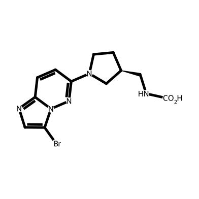 O=C(O)NC[C@@H]1CCN(c2ccc3ncc(Br)n3n2)C1